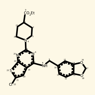 CCOC(=O)C1CCN(c2nc(NCc3ccc4c(c3)OCO4)c3cc(Cl)sc3n2)CC1